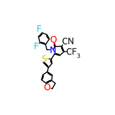 N#Cc1c(C(F)(F)F)cc(-c2cc(-c3ccc4c(c3)CCO4)cs2)n(Cc2ccc(F)cc2F)c1=O